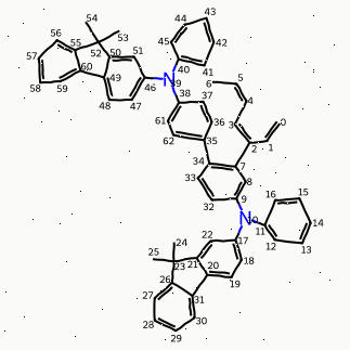 C=C/C(=C\C=C/C)c1cc(N(c2ccccc2)c2ccc3c(c2)C(C)(C)c2ccccc2-3)ccc1-c1ccc(N(c2ccccc2)c2ccc3c(c2)C(C)(C)c2ccccc2-3)cc1